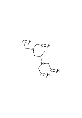 [C]C(CN(CC(=O)O)CC(=O)O)N(CC(=O)O)CC(=O)O